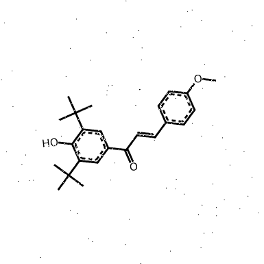 COc1ccc(/C=C/C(=O)c2cc(C(C)(C)C)c(O)c(C(C)(C)C)c2)cc1